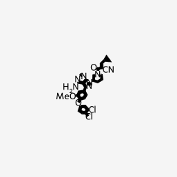 COc1cc(-c2nn([C@@H]3CCCN(C(=O)/C(C#N)=C/C4CC4)C3)c3ncnc(N)c23)ccc1Oc1ccc(Cl)c(Cl)c1